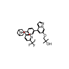 CC(C)(O)COc1cc(-c2ccc(N3CC4CC(C3)N4Cc3ccc(C(F)(F)F)nc3)nc2)c2ccnn2c1